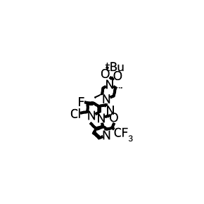 Cc1ccnc(C(C)C(F)(F)F)c1-n1c(=O)nc(N2C[C@@H](C)N(C(=O)OC(C)(C)C)C[C@@H]2C)c2cc(F)c(Cl)nc21